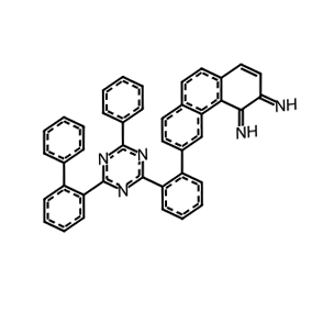 N=C1C=Cc2ccc3ccc(-c4ccccc4-c4nc(-c5ccccc5)nc(-c5ccccc5-c5ccccc5)n4)cc3c2C1=N